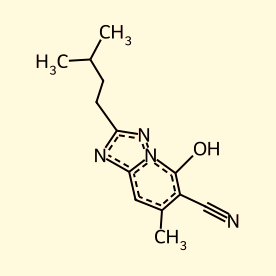 Cc1cc2nc(CCC(C)C)nn2c(O)c1C#N